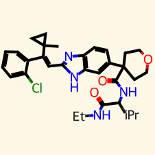 CCNC(=O)C(NC(=O)C1(c2ccc3nc(/C=C(/c4ccccc4Cl)C4(C)CC4)[nH]c3c2)CCOCC1)C(C)C